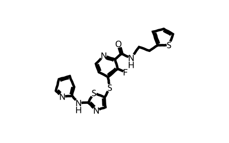 O=C(NCCc1cccs1)c1nccc(Sc2cnc(Nc3ccccn3)s2)c1F